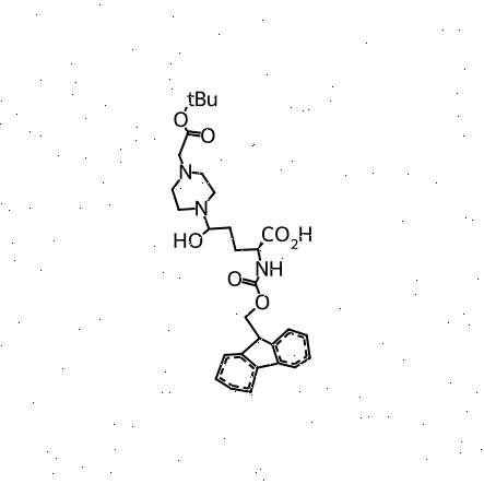 CC(C)(C)OC(=O)CN1CCN(C(O)CC[C@H](NC(=O)OCC2c3ccccc3-c3ccccc32)C(=O)O)CC1